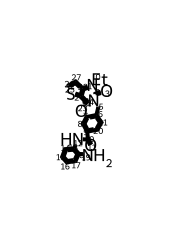 CCn1c(=O)n(Cc2ccc(C(=O)Nc3ccccc3N)cc2)c(=O)c2sccc21